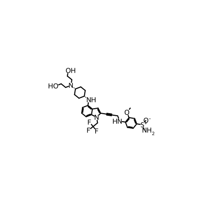 COc1cc([S+](N)[O-])ccc1NCC#Cc1cc2c(N[C@H]3CC[C@@H](N(CCO)CCO)CC3)cccc2n1CC(F)(F)F